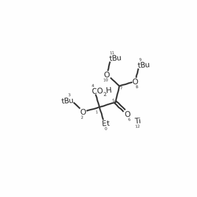 CCC(OC(C)(C)C)(C(=O)O)C(=O)C(OC(C)(C)C)OC(C)(C)C.[Ti]